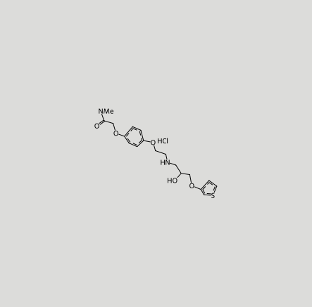 CNC(=O)COc1ccc(OCCNCC(O)COc2ccsc2)cc1.Cl